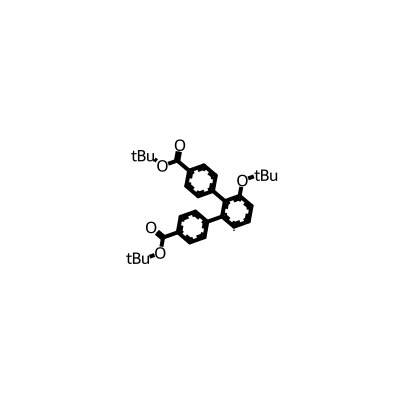 CC(C)(C)OC(=O)c1ccc(-c2[c]ccc(OC(C)(C)C)c2-c2ccc(C(=O)OC(C)(C)C)cc2)cc1